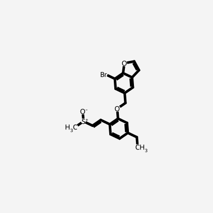 CCc1ccc(C=C[S+](C)[O-])c(OCc2cc(Br)c3occc3c2)c1